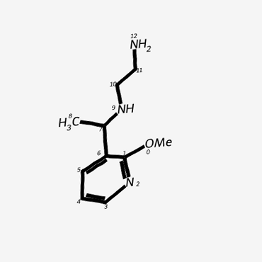 COc1ncccc1C(C)NCCN